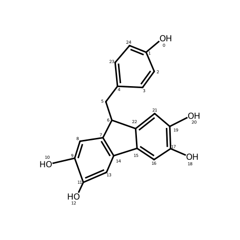 Oc1ccc(CC2c3cc(O)c(O)cc3-c3cc(O)c(O)cc32)cc1